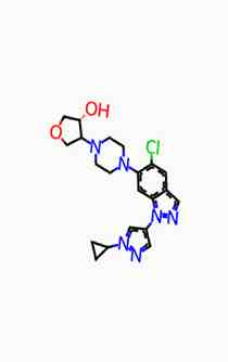 O[C@H]1COCC1N1CCN(c2cc3c(cnn3-c3cnn(C4CC4)c3)cc2Cl)CC1